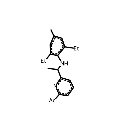 CCc1cc(C)cc(CC)c1NC(C)c1cccc(C(C)=O)n1